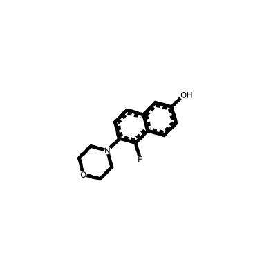 Oc1ccc2c(F)c(N3CCOCC3)ccc2c1